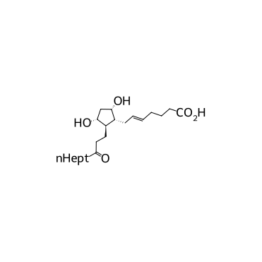 CCCCCCCC(=O)CC[C@@H]1[C@@H](CC=CCCCC(=O)O)[C@@H](O)C[C@H]1O